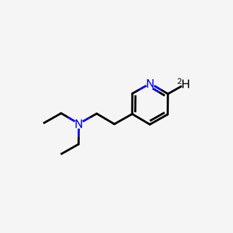 [2H]c1ccc(CCN(CC)CC)cn1